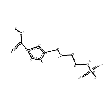 COC(=O)c1csc(COCCOS(C)(=O)=O)c1